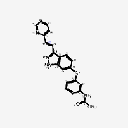 CC(C)(C)C(=O)Nc1cccc(Sc2ccc3c(/C=C/c4ccccn4)n[nH]c3c2)c1